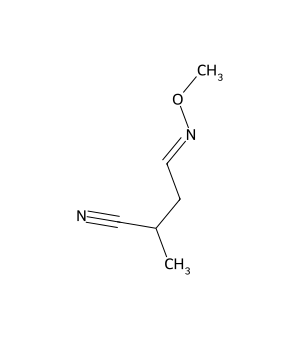 CO/N=C/CC(C)C#N